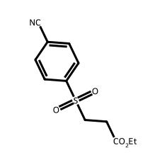 CCOC(=O)CCS(=O)(=O)c1ccc(C#N)cc1